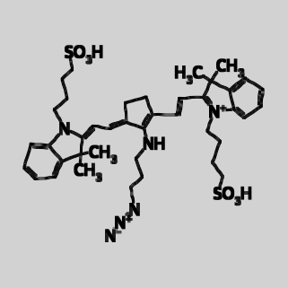 CC1(C)C(/C=C/C2=C(NCCCN=[N+]=[N-])C(=C/C=C3/N(CCCCS(=O)(=O)O)c4ccccc4C3(C)C)/CC2)=[N+](CCCCS(=O)(=O)O)c2ccccc21